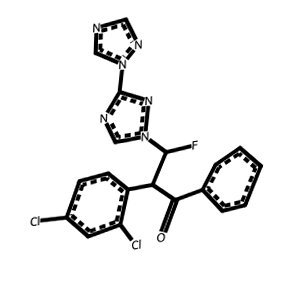 O=C(c1ccccc1)C(c1ccc(Cl)cc1Cl)C(F)n1cnc(-n2cncn2)n1